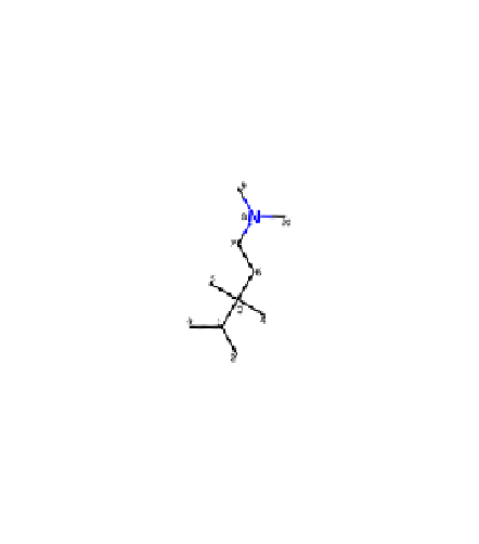 CC(C)C(C)(C)CCN(C)C